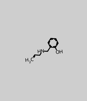 C=CCNCc1ccccc1O